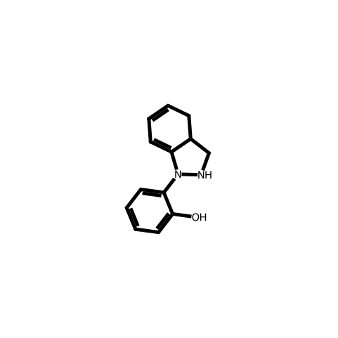 Oc1ccccc1N1NCC2CC=CC=C21